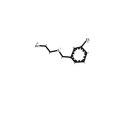 CCc1cccc(CSCCC(C)=O)c1